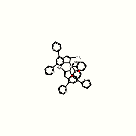 CC1=Cc2c(-c3ccccn3)cc(-c3ccccn3)cc2[CH]1[Zr](=[SiH2])([c]1ccccc1)([c]1ccccc1)[CH]1C(C)=Cc2c(-c3ccccn3)cc(-c3ccccn3)cc21